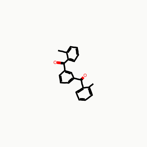 Cc1ccccc1C(=O)c1cccc(C(=O)c2ccccc2C)c1